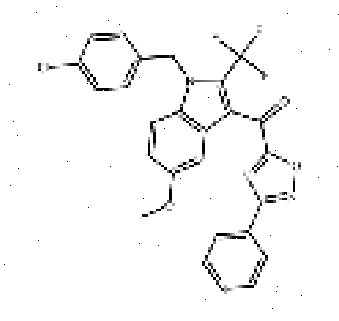 COc1ccc2c(c1)c(C(=O)c1nc(-c3ccncc3)no1)c(C(F)(F)F)n2Cc1ccc(Cl)cc1